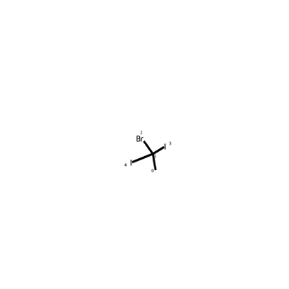 CC(Br)(I)I